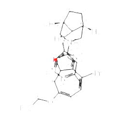 CC(C)C1=CC=C(OCC(F)(F)F)CC2N=C(N[C@@H]3[C@@H]4CC[C@H]3CN(c3cnnc(Cl)c3)C4)N=C12